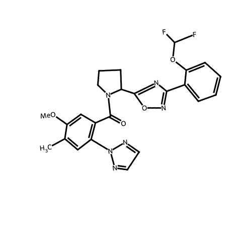 COc1cc(C(=O)N2CCCC2c2nc(-c3ccccc3OC(F)F)no2)c(-n2nccn2)cc1C